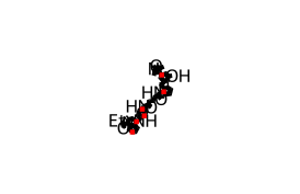 CCC(=O)N1c2ccccc2[C@H](Nc2ccc(NC(=O)CCCC(=O)NC3CCCCN3Cc3cc(O)cc(-c4c(C)noc4C)c3)cc2)C[C@@H]1C